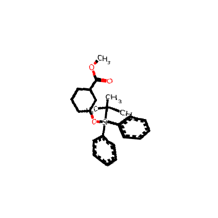 COC(=O)C1CCCC(O[Si](c2ccccc2)(c2ccccc2)C(C)(C)C)C1